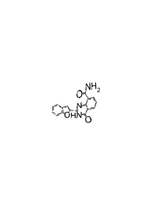 NC(=O)c1cccc2c(=O)[nH]c(-c3cc4ccccc4o3)nc12